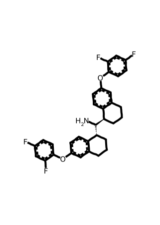 NC([C@@H]1CCCc2cc(Oc3ccc(F)cc3F)ccc21)[C@@H]1CCCc2cc(Oc3ccc(F)cc3F)ccc21